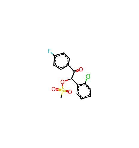 CS(=O)(=O)OC(C(=O)c1ccc(F)cc1)c1ccccc1Cl